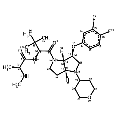 CN[C@@H](C)C(=O)N[C@H](C(=O)N1CC[C@@H]2[C@H]1[C@@H](Oc1ccc(F)c(F)c1)CN2C1CCOCC1)C(C)(C)C